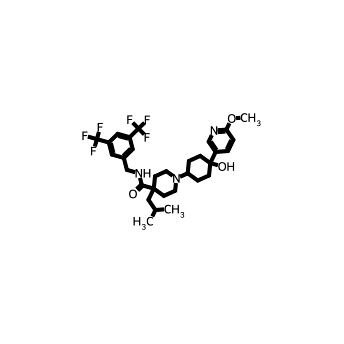 COc1ccc(C2(O)CCC(N3CCC(CC(C)C)(C(=O)NCc4cc(C(F)(F)F)cc(C(F)(F)F)c4)CC3)CC2)cn1